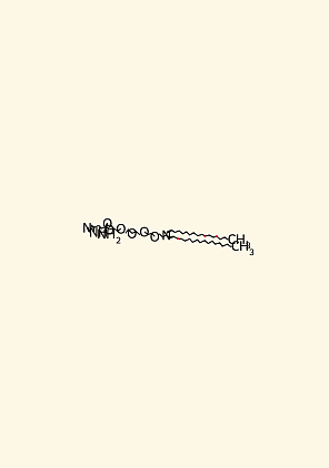 CCCCCCCCCCCCCCCC/C=C\N(/C=C/CCCCCCCCCCCCCCCC)CCOCCOCCOCCOCCOC(=O)C(N)Cc1cnc[nH]1